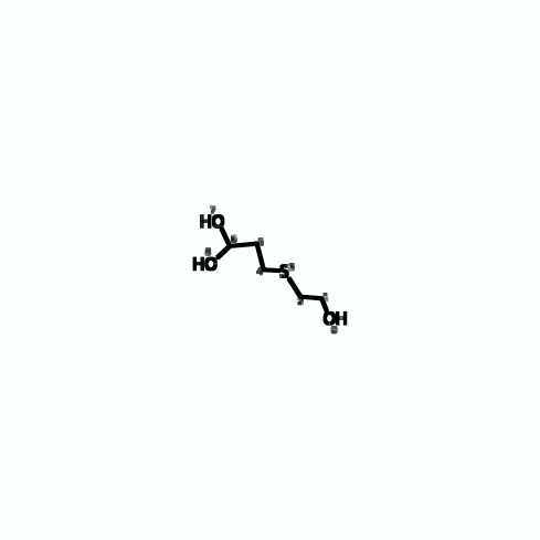 OCCSCCC(O)O